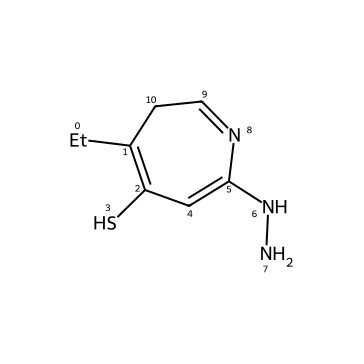 CCC1=C(S)C=C(NN)N=CC1